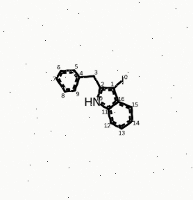 Ic1c(Cc2ccccc2)[nH]c2ccccc12